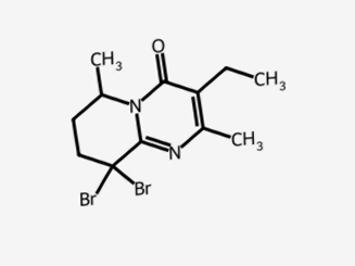 CCc1c(C)nc2n(c1=O)C(C)CCC2(Br)Br